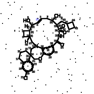 C[C@@H]1C/C=C/[C@H](O)[C@@H]2CC[C@H]2CN2C[C@@]3(CCCc4cc(Cl)ccc43)COc3ccc(cc32)C(=O)NS(=O)(=O)[C@@H]1CC1CCC1